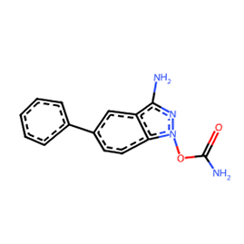 NC(=O)On1nc(N)c2cc(-c3ccccc3)ccc21